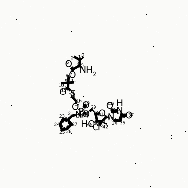 CC(C)[C@@H](N)C(=O)OCC(C)(C)C(=O)SCCOP(=O)(NCc1ccccc1)OC[C@H]1O[C@@H](n2ccc(=O)[nH]c2=O)[C@](C)(Cl)[C@@H]1O